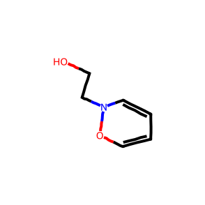 OCCN1C=CC=CO1